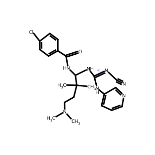 CN(C)CCC(C)(C)C(NC(=O)c1ccc(Cl)cc1)N/C(=N/C#N)Nc1cccnc1